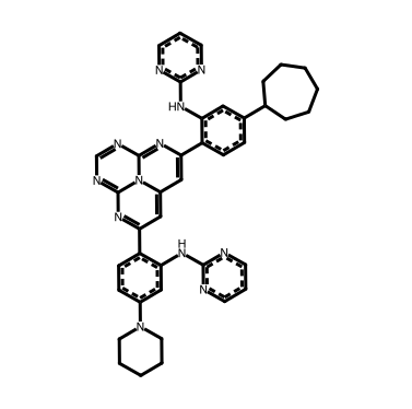 C1=NC2=NC(c3ccc(C4CCCCCC4)cc3Nc3ncccn3)=CC3=CC(c4ccc(N5CCCCC5)cc4Nc4ncccn4)=NC(=N1)N32